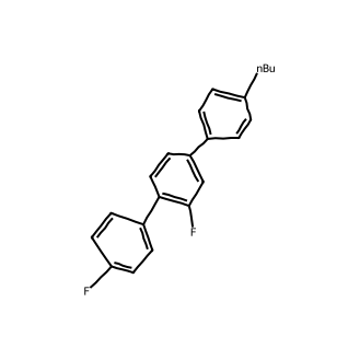 CCCCc1ccc(-c2ccc(-c3ccc(F)cc3)c(F)c2)cc1